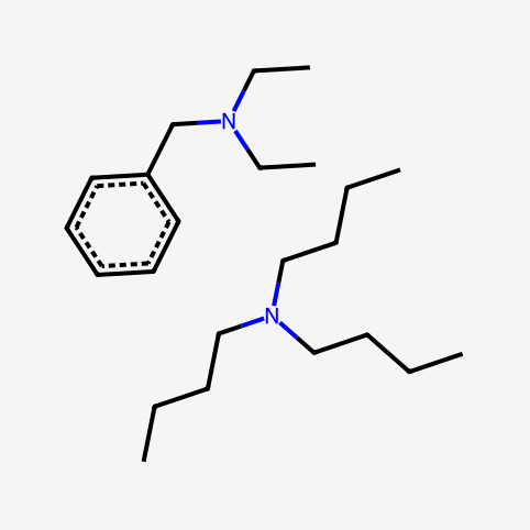 CCCCN(CCCC)CCCC.CCN(CC)Cc1ccccc1